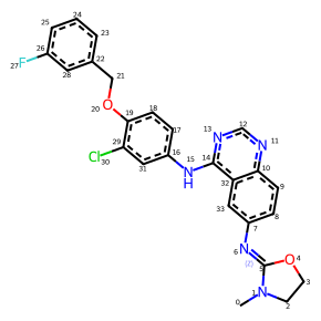 CN1CCO/C1=N\c1ccc2ncnc(Nc3ccc(OCc4cccc(F)c4)c(Cl)c3)c2c1